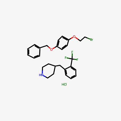 BrCCOc1ccc(OCc2ccccc2)cc1.Cl.FC(F)(F)c1ccccc1CC1CCNCC1